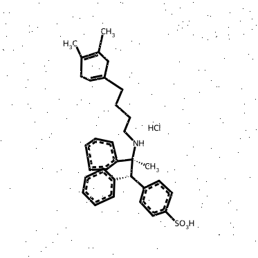 CC1=C(C)CC(CCCCN[C@](C)(c2ccccc2)[C@@H](c2ccccc2)c2ccc(S(=O)(=O)O)cc2)=CC1.Cl